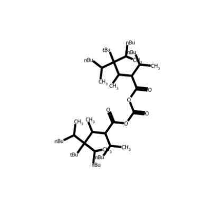 CCCCC(C)C(C(=O)OC(=O)OC(=O)C(C(C)CCCC)C(C)C(C(C)CCCC)(C(C)CCCC)C(C)(C)C)C(C)C(C(C)CCCC)(C(C)CCCC)C(C)(C)C